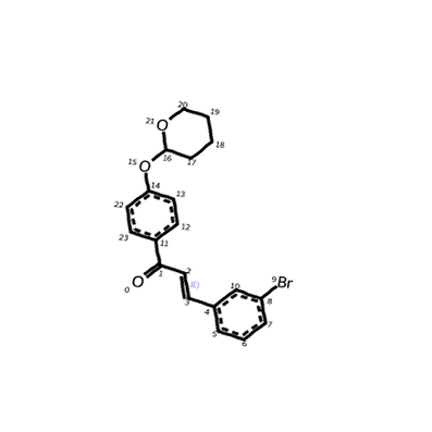 O=C(/C=C/c1cccc(Br)c1)c1ccc(OC2CCCCO2)cc1